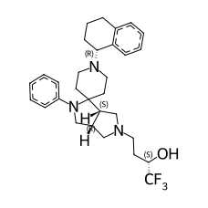 O[C@@H](CCN1C[C@@H]2CN(c3ccccc3)C3(CCN([C@@H]4CCCc5ccccc54)CC3)[C@@H]2C1)C(F)(F)F